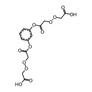 O=C(O)COOCC(=O)Oc1cccc(OC(=O)COOCC(=O)O)c1